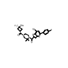 CCc1cc(-c2ccc(F)cc2)nc2cc(C(=O)N3CCN(C(=O)[C@H]4C[C@](O)(C(F)(F)F)C4)CC3(C)C)oc12